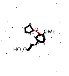 COc1ccc(CC=CC(=O)O)cc1OC1CCCC1